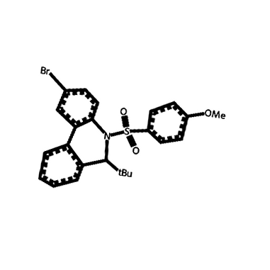 COc1ccc(S(=O)(=O)N2c3ccc(Br)cc3-c3ccccc3C2C(C)(C)C)cc1